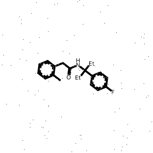 CCC(CC)(NC(=O)Cc1ccccc1C)c1ccc(F)cc1